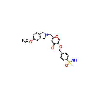 CS(=N)(=O)c1ccc(COc2coc(CN3Cc4ccc(OC(F)(F)F)cc4C3)cc2=O)cc1